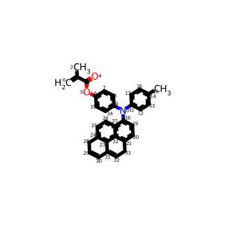 C=C(C)C(=O)Oc1ccc(N(c2ccc(C)cc2)c2ccc3c4c5c(ccc24)CC=CC5=CC3)cc1